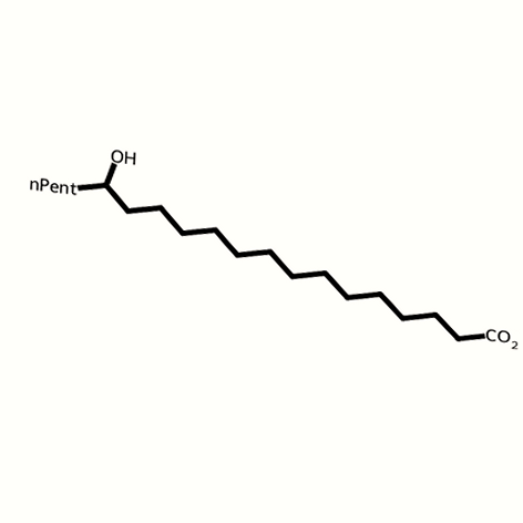 CCCCCC(O)CCCCCCCCCCCCCC(=O)O